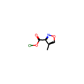 Cc1conc1C(=O)OCl